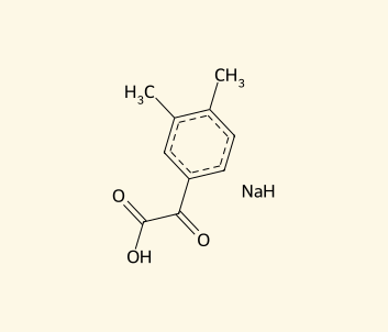 Cc1ccc(C(=O)C(=O)O)cc1C.[NaH]